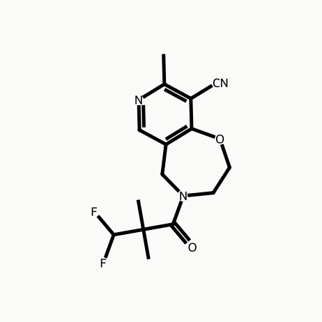 Cc1ncc2c(c1C#N)OCCN(C(=O)C(C)(C)C(F)F)C2